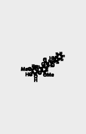 COc1cc2cc(NC(=O)c3cc4ccccc4[nH]3)c(=O)oc2c(C)c1O[C@@H]1OC(C)(C)[C@H](OC)[C@@H](O)[C@@H]1O